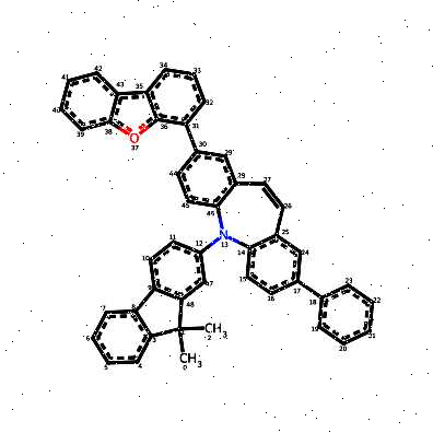 CC1(C)c2ccccc2-c2ccc(N3c4ccc(-c5ccccc5)cc4C=Cc4cc(-c5cccc6c5oc5ccccc56)ccc43)cc21